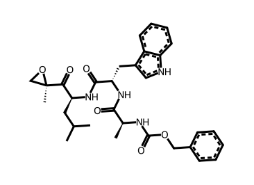 CC(C)C[C@H](NC(=O)[C@H](Cc1c[nH]c2ccccc12)NC(=O)[C@H](C)NC(=O)OCc1ccccc1)C(=O)[C@@]1(C)CO1